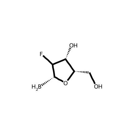 B[C@H]1O[C@@H](CO)[C@@H](O)C1F